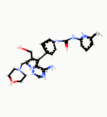 Cc1cccc(NC(=O)Nc2ccc(-c3c(CO)c(CN4CCOCC4)n4ncnc(N)c34)cc2)n1